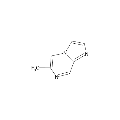 FC(F)(F)c1cn2ccnc2cn1